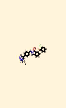 Cn1cc(-c2ccc(CN3Cc4cccc(Sc5ccccc5F)c4C3=O)cc2)cn1